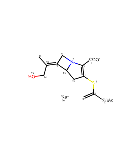 C=C(NC(C)=O)SC1=C(C(=O)[O-])N2CC(=C(C)CO)C2C1.[Na+]